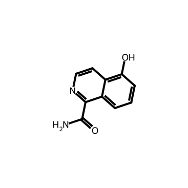 NC(=O)c1nccc2c(O)cccc12